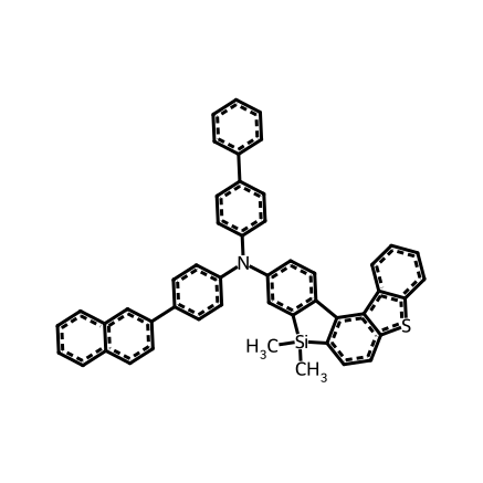 C[Si]1(C)c2cc(N(c3ccc(-c4ccccc4)cc3)c3ccc(-c4ccc5ccccc5c4)cc3)ccc2-c2c1ccc1sc3ccccc3c21